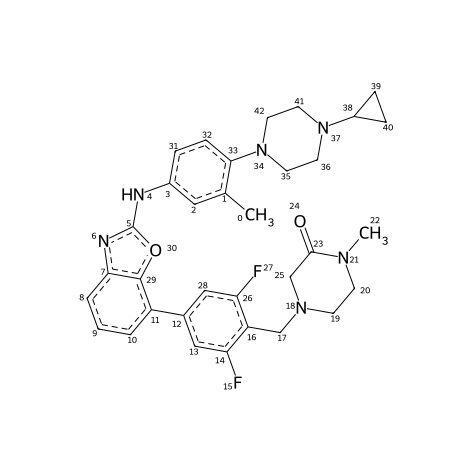 Cc1cc(Nc2nc3cccc(-c4cc(F)c(CN5CCN(C)C(=O)C5)c(F)c4)c3o2)ccc1N1CCN(C2CC2)CC1